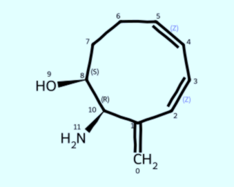 C=C1/C=C\C=C/CC[C@H](O)[C@@H]1N